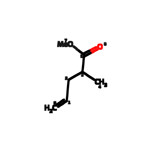 C=CCC(C)C(=O)OC